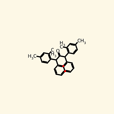 Cc1ccc(C(C(=O)C(c2ccccc2)c2ccc(C)cc2C)c2ccccc2)c(C)c1